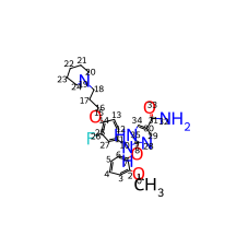 COc1ccccc1OC1(Nc2ccc(OCCCN3CCCCC3)c(F)c2)N=CC(C(N)=O)=CN1